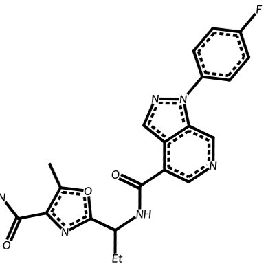 CCC(NC(=O)c1cncc2c1cnn2-c1ccc(F)cc1)c1nc(C(N)=O)c(C)o1